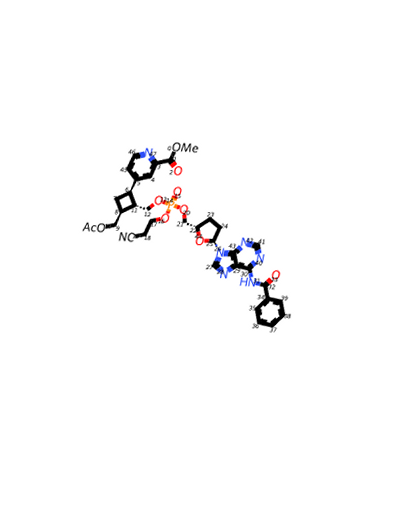 COC(=O)c1cc([C@@H]2C[C@H](COC(C)=O)[C@H]2COP(=O)(OCCC#N)OC[C@@H]2CC[C@H](n3cnc4c(NC(=O)c5ccccc5)ncnc43)O2)ccn1